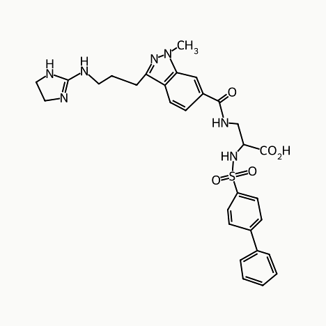 Cn1nc(CCCNC2=NCCN2)c2ccc(C(=O)NCC(NS(=O)(=O)c3ccc(-c4ccccc4)cc3)C(=O)O)cc21